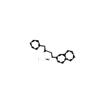 O=C(CC(=NO)c1ccc2ccccc2c1)Cc1ccccc1